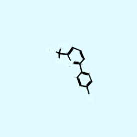 CC(C)(C)c1cccc(-c2ccc(Cl)cc2)n1